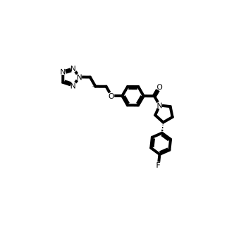 O=C(c1ccc(OC[CH]Cn2ncnn2)cc1)N1CC[C@H](c2ccc(F)cc2)C1